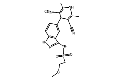 [C-]#[N+]C1=C(C)NC(C)=C(C#N)C1c1ccc2[nH]nc(NS(=O)(=O)CCOC)c2c1